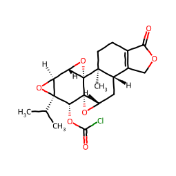 CC(C)[C@]12O[C@H]1[C@@H]1O[C@]13[C@]1(O[C@H]1C[C@H]1C4=C(CC[C@@]13C)C(=O)OC4)[C@@H]2OC(=O)Cl